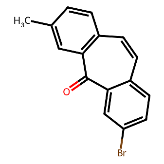 Cc1ccc2ccc3ccc(Br)cc3c(=O)c2c1